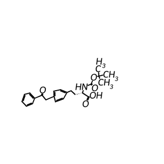 CC(C)(C)OC(=O)N[C@@H](CCc1ccc(CC(=O)c2ccccc2)cc1)C(=O)O